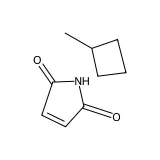 CC1CCC1.O=C1C=CC(=O)N1